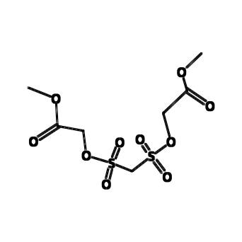 COC(=O)COS(=O)(=O)CS(=O)(=O)OCC(=O)OC